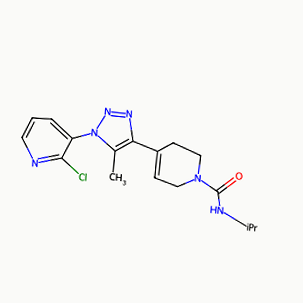 Cc1c(C2=CCN(C(=O)NC(C)C)CC2)nnn1-c1cccnc1Cl